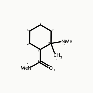 CNC(=O)C1CCCCC1(C)NC